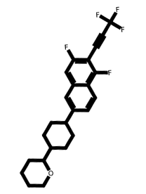 Fc1cc2cc(C3CCC(C4CCCCO4)CC3)ccc2c(F)c1C#CC(F)(F)F